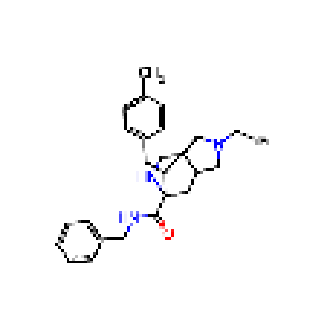 Cc1ccc(CC2C3C4CNC2(C(=O)NCc2ccccc2)CC4CN3CC(C)C)cc1